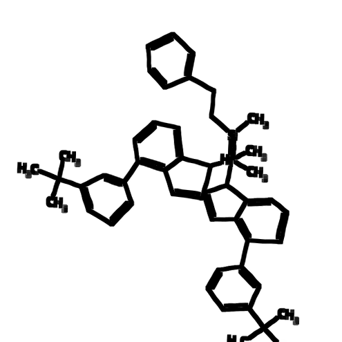 C[Si](CCc1ccccc1)=[Hf]([CH3])([CH3])([CH]1C=Cc2c(-c3cccc(C(C)(C)C)c3)cccc21)[CH]1C=Cc2c(-c3cccc(C(C)(C)C)c3)cccc21